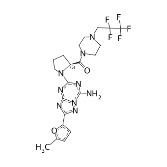 Cc1ccc(-c2nc3nc(N4CCC[C@H]4C(=O)N4CCN(CC(F)(F)C(F)(F)F)CC4)nc(N)n3n2)o1